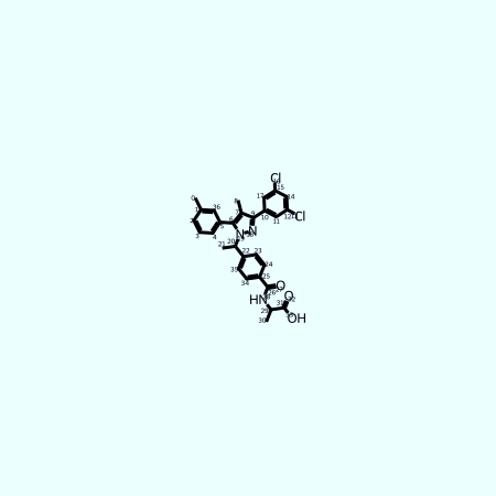 Cc1cccc(-c2c(C)c(-c3cc(Cl)cc(Cl)c3)nn2C(C)c2ccc(C(=O)NC(C)C(=O)O)cc2)c1